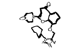 O=c1cc(N2CCOCC2)oc2c(OCc3nnnn3C3CCCCC3)cccc12